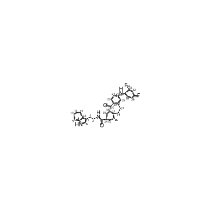 O=C(NCCc1c[nH]c2ccccc12)c1ccc2c(c1)C(=O)c1ccc(Nc3ccc(F)cc3F)cc1CC2